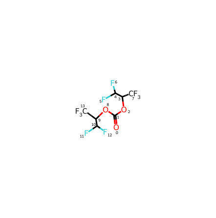 O=C(OC(C(F)F)C(F)(F)F)OC(C(F)F)C(F)(F)F